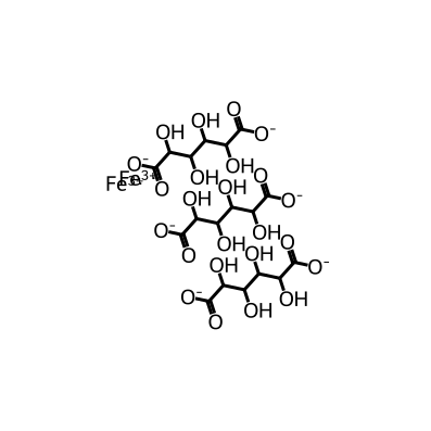 O=C([O-])C(O)C(O)C(O)C(O)C(=O)[O-].O=C([O-])C(O)C(O)C(O)C(O)C(=O)[O-].O=C([O-])C(O)C(O)C(O)C(O)C(=O)[O-].[Fe+3].[Fe+3]